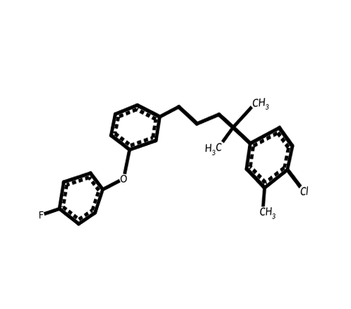 Cc1cc(C(C)(C)CCCc2cccc(Oc3ccc(F)cc3)c2)ccc1Cl